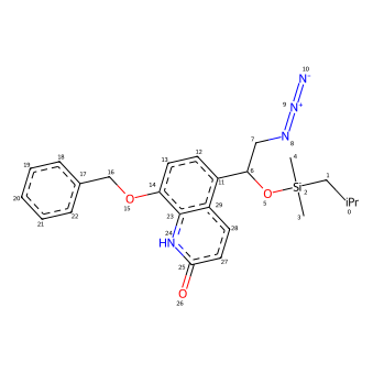 CC(C)C[Si](C)(C)OC(CN=[N+]=[N-])c1ccc(OCc2ccccc2)c2[nH]c(=O)ccc12